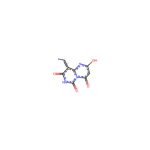 O=c1[nH]c(=O)n2c(=O)cc(O)nc2/c1=C/I